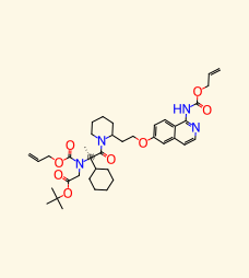 C=CCOC(=O)Nc1nccc2cc(OCCC3CCCCN3C(=O)[C@@](C)(C3CCCCC3)N(CC(=O)OC(C)(C)C)C(=O)OCC=C)ccc12